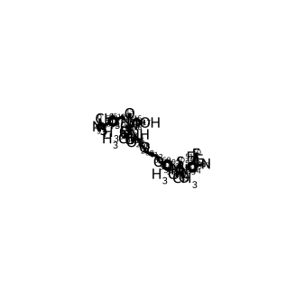 Cc1ncsc1-c1ccc(CNC(=O)[C@@H]2C[C@@H](O)CN2C(=O)C(NC(=O)CCOCC#CCOc2ccc(N3C(=S)N(c4ccc(C#N)c(C(F)(F)F)c4)C(=O)C3(C)C)cc2)C(C)(C)C)cc1